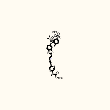 CCCOS(=O)(=O)c1ccc(C)c(Oc2ccc3nc(/C=C/C#Cc4cnc(N(C)C(=O)OC(C)(C)C)cn4)sc3c2)c1O[Si](C)(C)C(C)(C)C